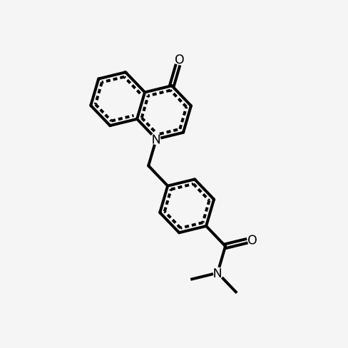 CN(C)C(=O)c1ccc(Cn2ccc(=O)c3ccccc32)cc1